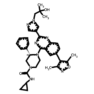 Cc1noc(C)c1-c1ccc2nc(-c3cnn(CC(C)(C)O)c3)nc(N3CCN(C(=O)NC4CC4)C[C@@H]3c3ccccc3)c2c1